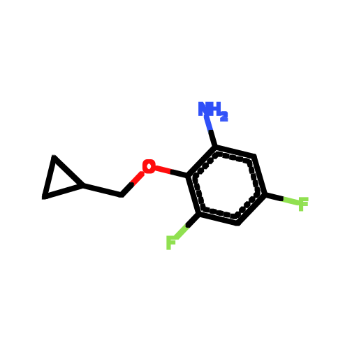 Nc1cc(F)cc(F)c1OCC1CC1